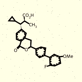 COc1ccc(F)c(-c2ccc(C3Cc4cc([C@H](C5CC5)[C@H](C)C(=O)O)ccc4C(=O)O3)cc2)c1